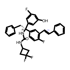 O=C(NC1CC(F)(F)C1)N[C@@](Cc1ccccc1)(c1cc(O)cc(F)c1)c1ccc(F)c(/C=C/c2ccccc2)c1